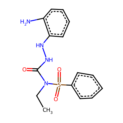 CCN(C(=O)NNc1ccccc1N)S(=O)(=O)c1ccccc1